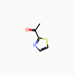 CC(=O)c1nc[c]s1